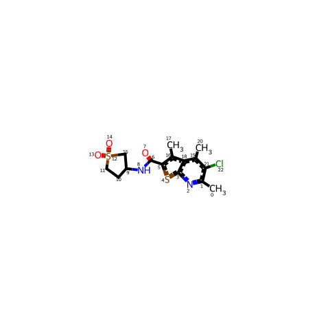 Cc1nc2sc(C(=O)NC3CCS(=O)(=O)C3)c(C)c2c(C)c1Cl